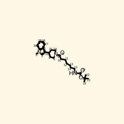 Cn1cc(C2CCN(C(=O)CCCCCCNC(=O)OC(C)(C)C)CC2)c2ccccc21